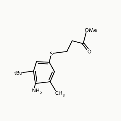 COC(=O)CCSc1cc(C)c(N)c(C(C)(C)C)c1